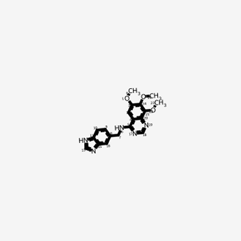 COc1cc2c(NCc3ccc4[nH]cnc4c3)ncnc2c(OC)c1OC